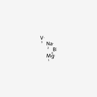 [B].[Mg].[Na].[V]